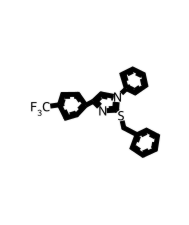 FC(F)(F)c1ccc(-c2cn(-c3ccccc3)c(SCc3ccccc3)n2)cc1